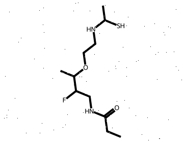 CCC(=O)NCC(F)C(C)OCCNC(C)S